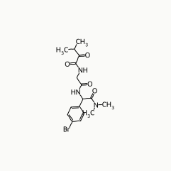 CC(C)C(=O)C(=O)NCC(=O)NC(C(=O)N(C)C)c1ccc(Br)cc1